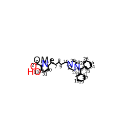 COC(=O)c1nc(CCCCCN2CCN(C(c3ccccc3)c3ccccc3)CC2)ccc1O